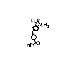 CCCC(=O)C1CCC(=Cc2ccc(N(C)C)cc2)CC1